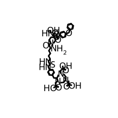 N[C@@H](CCCCNC(=S)Nc1ccc(CC2CN(CC(=O)O)CCN(CC(=O)O)CCN2CC(=O)O)cc1)C(=O)N1CCC(C(=O)NO)(S(=O)(=O)c2ccc(Oc3ccccc3)cc2)CC1